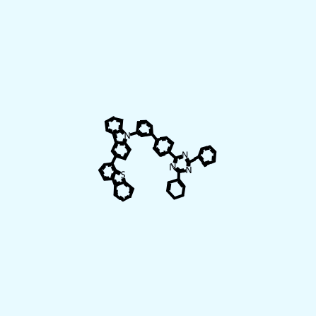 C1=CC(c2nc(-c3ccccc3)nc(-c3ccc(-c4cccc(-n5c6ccccc6c6cc(-c7cccc8c7sc7ccccc78)ccc65)c4)cc3)n2)=CCC1